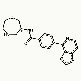 O=C(N[C@H]1CNCCOC1)c1ccc(-c2nccc3occc23)cc1